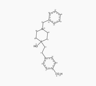 O=C(O)c1ccc(CCC2(O)CCN(Cc3ccccc3)CC2)cc1